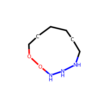 C1CCCOONNNCC1